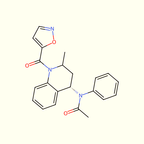 CC(=O)N(c1ccccc1)[C@H]1CC(C)N(C(=O)c2ccno2)c2ccccc21